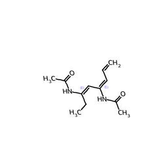 C=C/C=C(\C=C(/CC)NC(C)=O)NC(C)=O